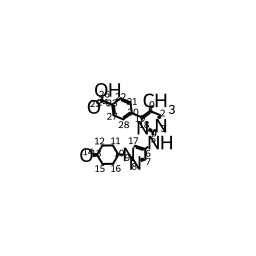 Cc1cnc(Nc2cnn(C3CCC(=O)CC3)c2)nc1-c1ccc(C(=O)O)cc1